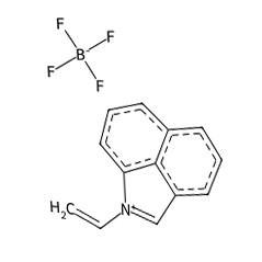 C=C[N+]1=Cc2cccc3cccc1c23.F[B-](F)(F)F